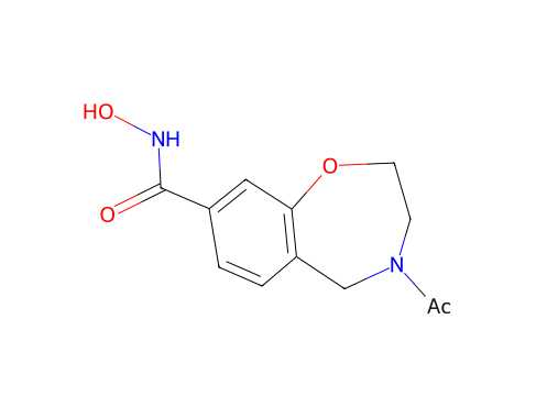 CC(=O)N1CCOc2cc(C(=O)NO)ccc2C1